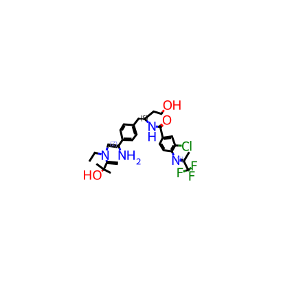 C=C(N(/C=C(\N)c1ccc(C[C@@H](CCO)NC(=O)c2ccc(/N=C(\C)C(F)(F)F)c(Cl)c2)cc1)CC)C(C)(C)O